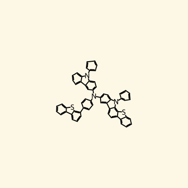 c1ccc(-n2c3ccccc3c3cc(N(c4ccc(-c5cccc6c5sc5ccccc56)cc4)c4ccc5c(c4)c4ccc6c7ccccc7sc6c4n5-c4ccccc4)ccc32)cc1